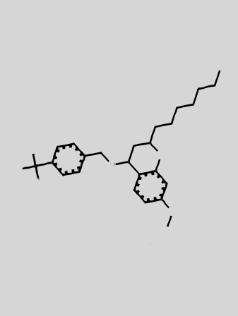 CCCCCCCC1CC(NCc2ccc(C(F)(F)F)cc2)c2ccc(OC)cc2O1.Cl